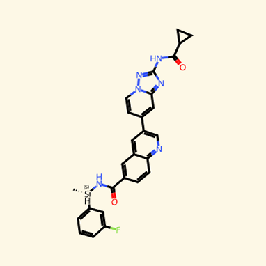 C[Si@H](NC(=O)c1ccc2ncc(-c3ccn4nc(NC(=O)C5CC5)nc4c3)cc2c1)c1cccc(F)c1